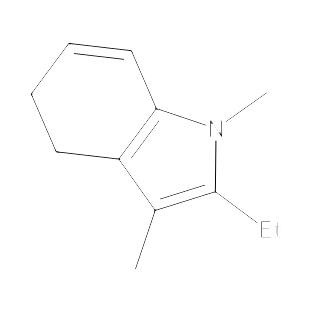 CCc1c(C)c2c(n1C)C=CCC2